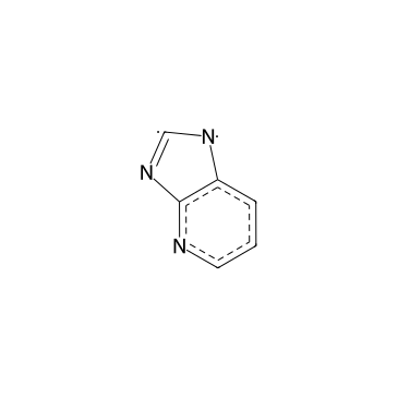 [C]1=Nc2ncccc2[N]1